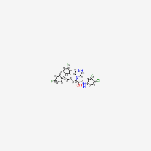 OC(CNc1ccc(Cl)c(Cl)c1)C(CCCC(c1ccc(F)cc1)c1ccc(F)cc1)N1CCNCC1